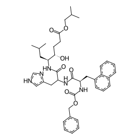 CC(C)COC(=O)CC[C@H](O)[C@H](CC(C)C)NC(=O)C(Cc1c[nH]cn1)NC(=O)[C@@H](Cc1cccc2ccccc12)NC(=O)OCc1ccccc1